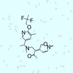 C=N/C=C\C(C=O)=C(\CN(C)C(C)c1cnc(OCC(C)(F)F)c(C)c1)C(C)=O